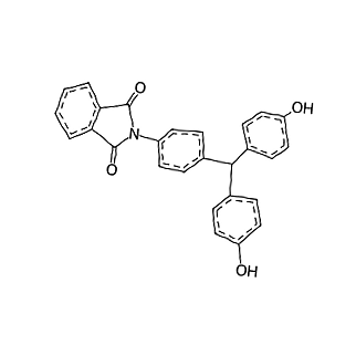 O=C1c2ccccc2C(=O)N1c1ccc(C(c2ccc(O)cc2)c2ccc(O)cc2)cc1